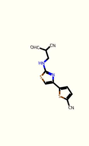 N#Cc1ccc(-c2csc(NCC(C#N)C=O)n2)s1